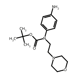 CC(C)(C)OC(=O)N(CCN1CCOCC1)c1ccc(N)cc1